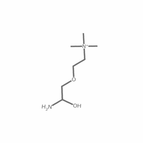 C[N+](C)(C)CCOCC(N)O